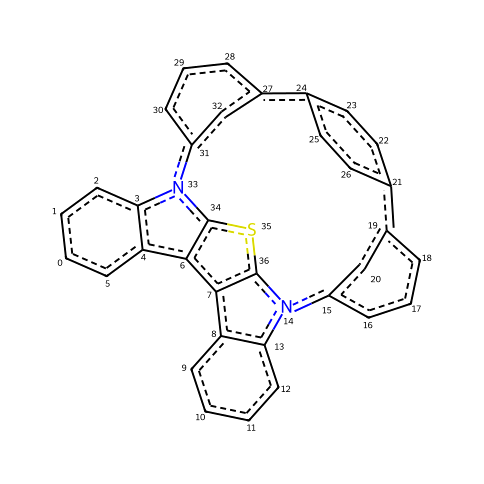 c1ccc2c(c1)c1c3c4ccccc4n4c5cccc(c5)c5ccc(cc5)c5cccc(c5)n2c1sc34